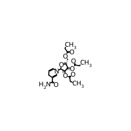 CCC(=O)OC[C@H]1OC(N2C=CCC(C(N)=O)=C2)[C@H](OC(=O)CC)[C@@H]1OC(=O)CC